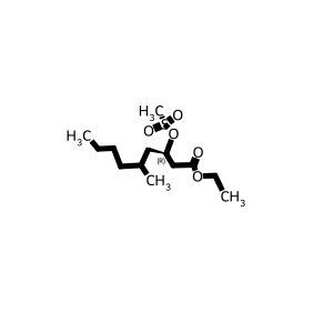 CCCCC(C)C[C@H](CC(=O)OCC)OS(C)(=O)=O